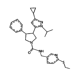 CCSc1ccc(CNC(=O)N2CC(c3ccccc3)C(c3cc(C4CC4)nn3C(C)C)C2)cn1